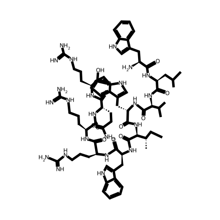 CC[C@H](C)[C@H](NC(=O)[C@H](Cc1c[nH]c2ccccc12)NC(=O)[C@@H](NC(=O)[C@H](CC(C)C)NC(=O)[C@@H](N)Cc1c[nH]c2ccccc12)C(C)C)C(=O)N[C@@H](Cc1c[nH]c2ccccc12)C(=O)N[C@@H](CCCNC(=N)N)C(=O)N[C@@H](CCCNC(=N)N)C(=O)N[C@@H](CCC(N)=O)C(=O)N[C@@H](CCCNC(=N)N)C(=O)O